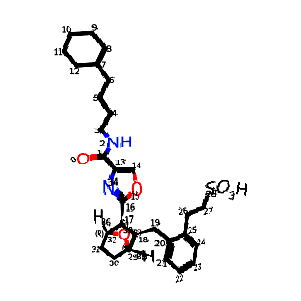 O=C(NCCCCC1CCCCC1)c1coc([C@H]2[C@@H](Cc3ccccc3CCS(=O)(=O)O)[C@@H]3CC[C@H]2O3)n1